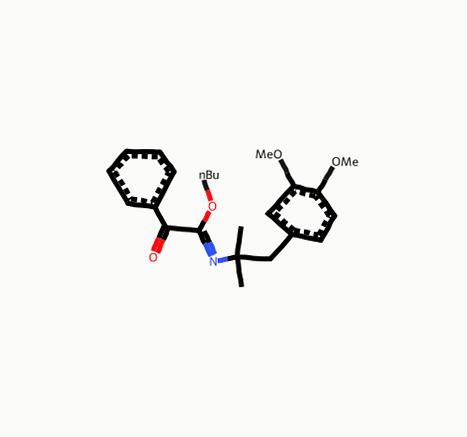 CCCCOC(=NC(C)(C)Cc1ccc(OC)c(OC)c1)C(=O)c1ccccc1